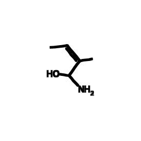 C/C=C(/C)C(N)O